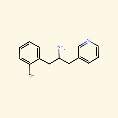 Cc1ccccc1CC(N)Cc1cccnc1